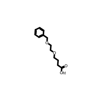 O=C(O)CCCOCCOCc1ccccc1